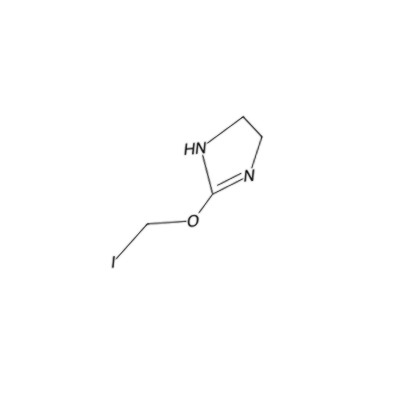 ICOC1=NCCN1